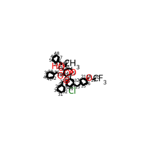 CC(O)[C@@]12CO[C@@](c3ccc(Cl)c(Cc4ccc(OCC(F)(F)F)cc4)c3)(O1)[C@H](OCc1ccccc1)[C@@H](OCc1ccccc1)[C@H]2OCc1ccccc1